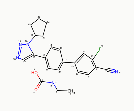 CCNC(=O)O.N#Cc1ccc(-c2ccc(-c3cnnn3C3CCCC3)cc2)cc1F